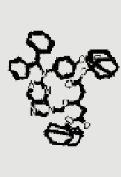 COc1ccc(N(c2ncc3ncn(COC(CC(=O)OC45CC6CC(CC(C6)C4)C5)CC(=O)OC45CC6CC(CC(C6)C4)C5)c3n2)C(c2ccccc2)c2ccccc2)cc1